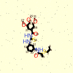 C=C(S/C=C\C)C(=O)Nc1cccc(NC(=S)NC(=O)C(/C=C(\COC)OC)=C/COC)c1